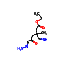 CCOC(=O)CC(C)(C=N)CC(=O)C=NN